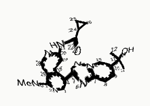 CNc1ncc(-c2nc3ccc(C(C)(C)O)cn3n2)c2cc(NC(=O)C3CC3)ncc12